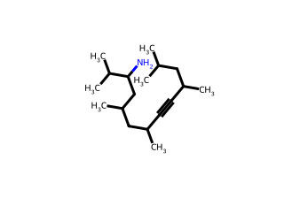 CC(C)CC(C)C#CC(C)CC(C)CC(N)C(C)C